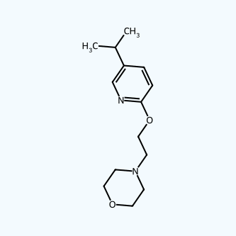 CC(C)c1ccc(OCCN2CCOCC2)nc1